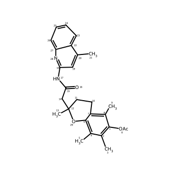 CC(=O)Oc1c(C)c(C)c2c(c1C)CCC(C)(CC(=O)Nc1cc(C)c3ccccc3n1)O2